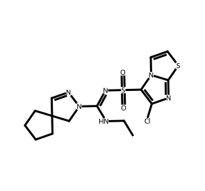 CCN/C(=N\S(=O)(=O)c1c(Cl)nc2sccn12)N1CC2(C=N1)CCCC2